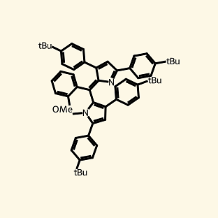 COc1ccccc1/C(=C1/N=C(c2ccc(C(C)(C)C)cc2)C=C1c1ccc(C(C)(C)C)cc1)c1c(-c2ccc(C(C)(C)C)cc2)cc(-c2ccc(C(C)(C)C)cc2)n1C